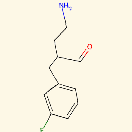 NCCC(C=O)Cc1cccc(F)c1